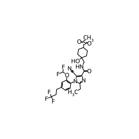 CCc1nc(C(=O)NCC2(O)CCC(S(C)(=O)=O)CC2)c(C#N)n1-c1ccc(CCC(F)(F)F)cc1OC(F)F